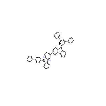 C=C(/C=c1\c(=C/C)n(-c2ccc(-c3ccccc3)cc2)c2ccccc12)c1ccc2c(c1)c1ccccc1n2-c1cc(-c2ccccc2)cc(-c2ccccc2)n1